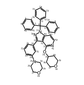 c1ccc(C(c2ccccc2)(c2ccccc2)n2nc(-c3cccc(N4CCOCC4)c3)c3c(OC4CCOCC4)nccc32)cc1